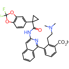 CN(C)CCc1c(C(=O)O)cccc1-c1nc(NC(=O)C2(c3ccc4c(c3)OC(F)(F)O4)CC2)cc2ccccc12